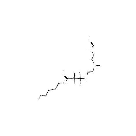 CCCCCCNC(=O)C(C)(C)C(C)(C)OCCN(C)CCOC=O